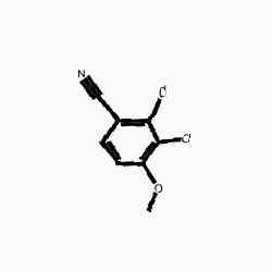 COc1ccc(C#N)c(Cl)c1Cl